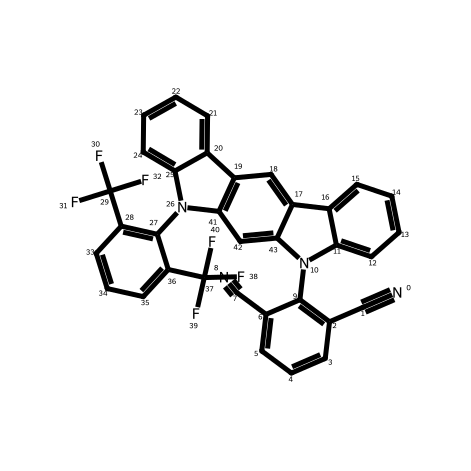 N#Cc1cccc(C#N)c1-n1c2ccccc2c2cc3c4ccccc4n(-c4c(C(F)(F)F)cccc4C(F)(F)F)c3cc21